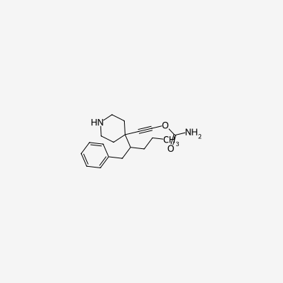 CCCC(Cc1ccccc1)C1(C#COC(N)=O)CCNCC1